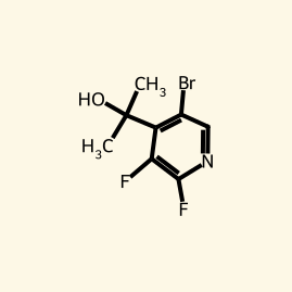 CC(C)(O)c1c(Br)cnc(F)c1F